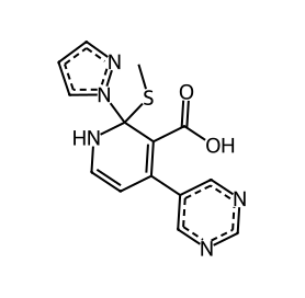 CSC1(n2cccn2)NC=CC(c2cncnc2)=C1C(=O)O